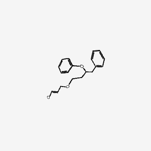 ClC=CCOCCC(Cc1ccccc1)Oc1ccccc1